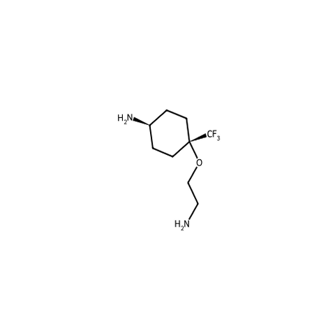 NCCO[C@]1(C(F)(F)F)CC[C@@H](N)CC1